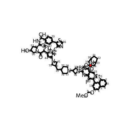 CCc1cccc2cc(OCOC)cc(-c3ncc4c(N5CC6CCC(C5)N6C(=O)OC(C)(C)C)nc(N5CC(N6CCC(CC7CN(c8cc(C(C(=O)N9C[C@H](O)C[C@H]9C(=O)NC(C)c9ccc(-c%10scnc%10C)cc9)C(C)C)on8)C7)CC6)C5)nc4c3F)c12